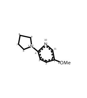 COc1ccc(N2CCCC2)nc1